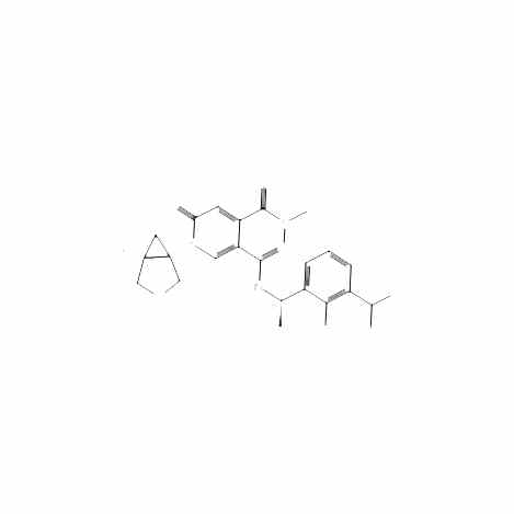 C[C@@H](Nc1nn(C)c(=O)c2cc(=O)n([C@]34COC[C@H]3C4)cc12)c1cccc(C(F)F)c1F